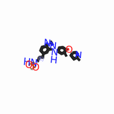 Cc1ccc(Oc2ccc(Nc3ncnc4ccc(/C=C/CNS(C)(=O)=O)cc34)cc2C)cn1